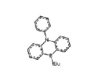 CC(C)(C)B1c2ccccc2N(c2ccccc2)c2ccccc21